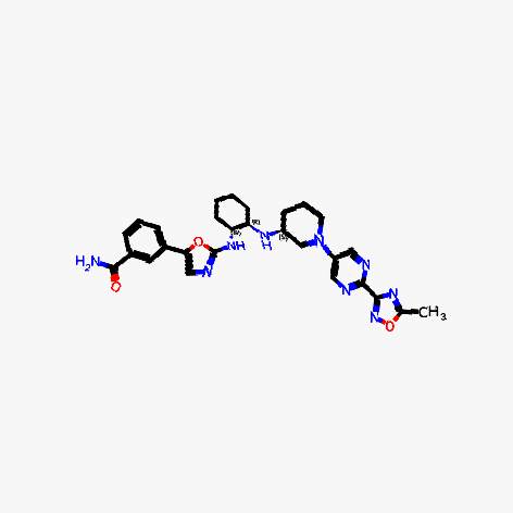 Cc1nc(-c2ncc(N3CCC[C@H](N[C@@H]4CCCC[C@H]4Nc4ncc(-c5cccc(C(N)=O)c5)o4)C3)cn2)no1